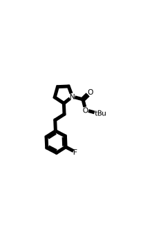 CC(C)(C)OC(=O)N1CCCC1CCc1cccc(F)c1